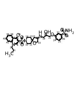 CCCn1cc(S(=O)(=O)N2CCC3(CC2)C[C@@H](NC[C@H](O)COc2cccc(S(N)(=O)=O)c2)CO3)c(=O)c2ccccc21